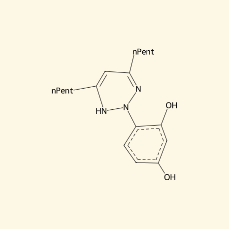 CCCCCC1=CC(CCCCC)=NN(c2ccc(O)cc2O)N1